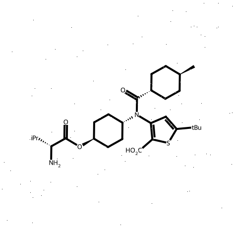 CC(C)[C@@H](N)C(=O)O[C@H]1CC[C@H](N(c2cc(C(C)(C)C)sc2C(=O)O)C(=O)[C@H]2CC[C@H](C)CC2)CC1